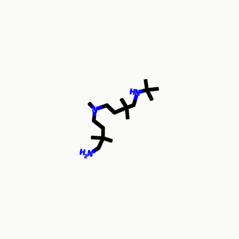 CN(CCC(C)(C)CN)CCC(C)(C)CNC(C)(C)C